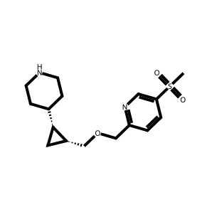 CS(=O)(=O)c1ccc(COC[C@@H]2C[C@@H]2C2CCNCC2)nc1